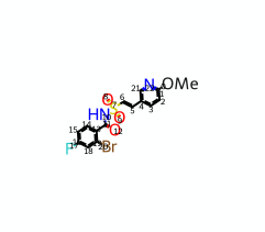 COc1ccc(C=CS(=O)(=O)NC(=O)c2ccc(F)cc2Br)cn1